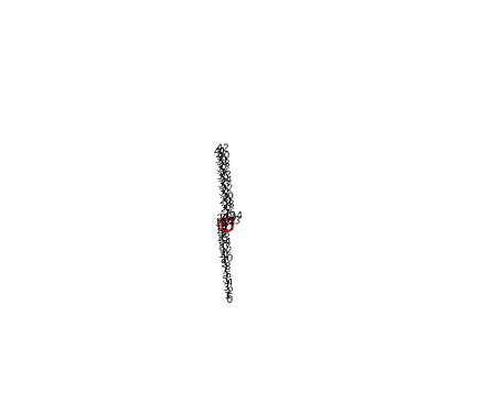 CCCCCCCCCCCCCCCCCCC(CC)OC(CC)CCCCCCCCCCCCCCCCCC